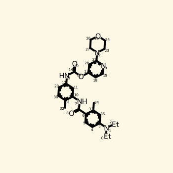 CCN(CC)c1ccc(C(=O)Nc2cc(NC(=O)Oc3ccnc(N4CCOCC4)c3)ccc2C)c(C)c1